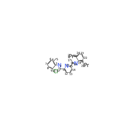 C/C(=N\c1c(C)cccc1Cl)c1cccc(/C(C)=N/c2c(C(C)C)cccc2C(C)C)n1